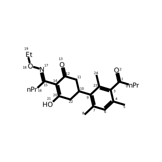 CCCC(=O)c1c(C)cc(C)c(C2CC(=O)C(C(CCC)=NOCC)=C(O)C2)c1C